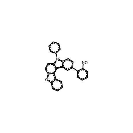 O=Nc1ccccc1-c1ccc2c(c1)c1c3c(ccc1n2-c1ccccc1)oc1ccccc13